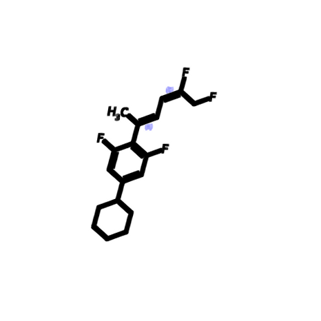 C/C(=C\C=C(\F)CF)c1c(F)cc(C2CCCCC2)cc1F